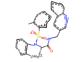 CCC(C(=O)NCc1cnc2ccccc2c1)N(c1ccccc1OC)S(=O)(=O)c1ccccc1C